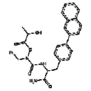 CC(C)CN(OC(=O)C(C)O)C(=O)NC(Cc1ccc(-c2ccc3ccccc3c2)cc1)C(N)=O